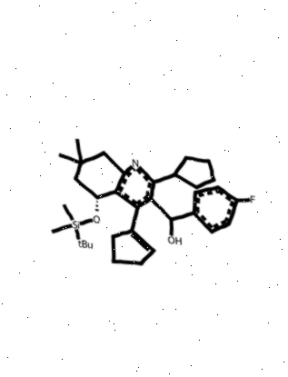 CC1(C)Cc2nc(C3CCCC3)c(C(O)c3ccc(F)cc3)c(C3=CCCC3)c2[C@H](O[Si](C)(C)C(C)(C)C)C1